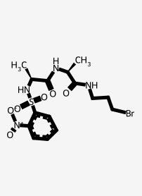 C[C@H](NC(=O)[C@H](C)NS(=O)(=O)c1ccccc1[N+](=O)[O-])C(=O)NCCCBr